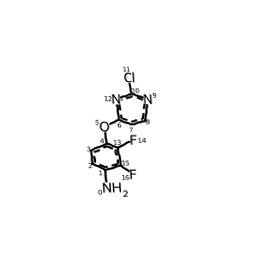 Nc1ccc(Oc2ccnc(Cl)n2)c(F)c1F